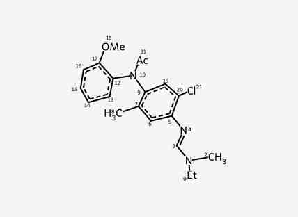 CCN(C)/C=N/c1cc(C)c(N(C(C)=O)c2ccccc2OC)cc1Cl